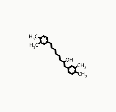 Cc1ccc(C=CC=CC=CC(O)=Cc2ccc(C)c(C)c2)cc1C